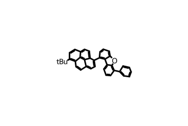 CC(C)(C)c1ccc2ccc3c(-c4cccc5oc6c(-c7ccccc7)cccc6c45)ccc4ccc1c2c43